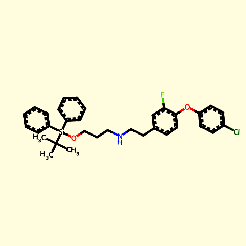 CC(C)(C)[Si](OCCCNCCc1ccc(Oc2ccc(Cl)cc2)c(F)c1)(c1ccccc1)c1ccccc1